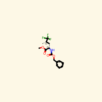 COC(=O)[C@H](C[C@H](C)C(F)(F)F)NC(=O)OCc1ccccc1